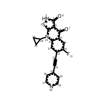 O=c1[nH]sc2c1c(=O)c1cc(F)c(C#Cc3ccncc3)cc1n2C1CC1